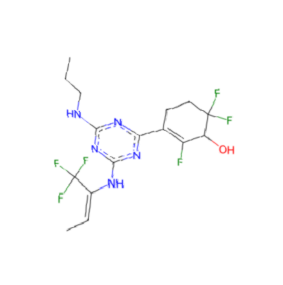 CC=C(Nc1nc(NCCC)nc(C2=C(F)C(O)C(F)(F)CC2)n1)C(F)(F)F